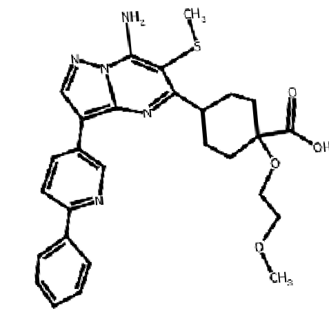 COCCOC1(C(=O)O)CCC(c2nc3c(-c4ccc(-c5ccccc5)nc4)cnn3c(N)c2SC)CC1